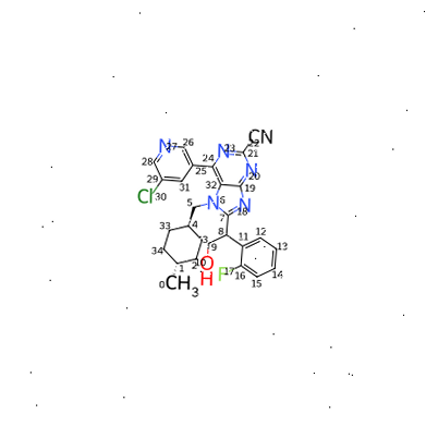 C[C@H]1CC[C@H](Cn2c(C(CO)c3ccccc3F)nc3nc(C#N)nc(-c4cncc(Cl)c4)c32)CC1